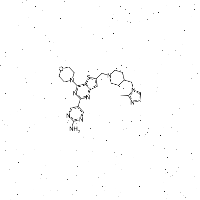 Cc1nccn1CC1CCN(Cc2cc3nc(-c4cnc(N)nc4)nc(N4CCOCC4)c3s2)CC1